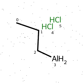 CC[CH2][AlH2].Cl.Cl